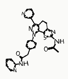 CC(=O)Nc1nc2c(s1)-c1c(c(-c3cccnc3)nn1-c1ccc(CC(=O)Nc3ccccn3)cc1)CC2